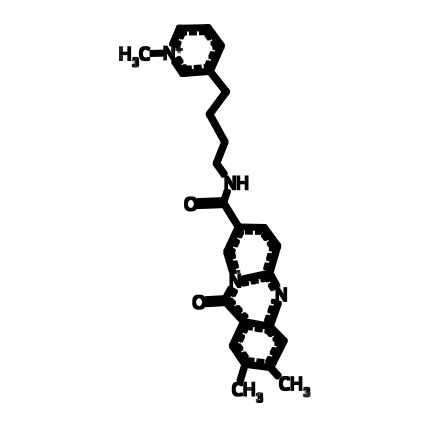 Cc1cc2nc3ccc(C(=O)NCCCCc4ccc[n+](C)c4)cn3c(=O)c2cc1C